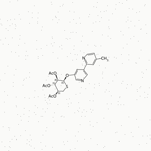 CC(=O)O[C@@H]1[C@@H](OC(C)=O)[C@@H](Oc2cncc(-c3cc(C)ccn3)c2)SC[C@H]1OC(C)=O